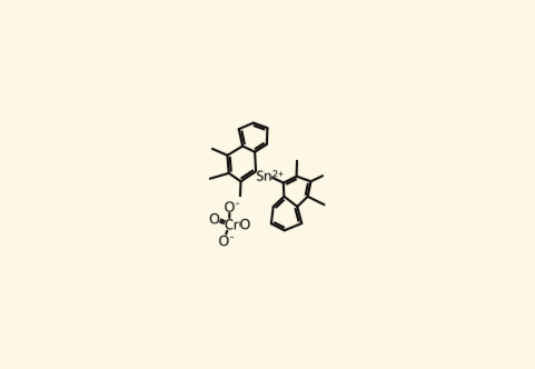 Cc1c(C)[c]([Sn+2][c]2c(C)c(C)c(C)c3ccccc23)c2ccccc2c1C.[O]=[Cr](=[O])([O-])[O-]